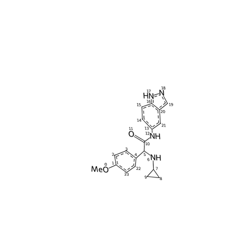 COc1ccc(C(NC2CC2)C(=O)Nc2ccc3[nH]ncc3c2)cc1